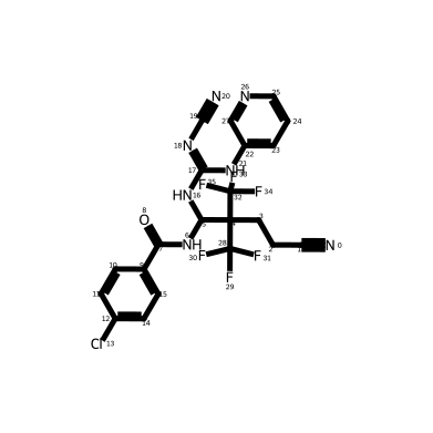 N#CCCC(C(NC(=O)c1ccc(Cl)cc1)N/C(=N/C#N)Nc1cccnc1)(C(F)(F)F)C(F)(F)F